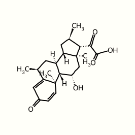 C[C@@H]1C[C@H]2[C@@H]3C[C@H](C)C4=CC(=O)C=C[C@]4(C)[C@H]3[C@@H](O)C[C@]2(C)[C@H]1C(=O)C(=O)O